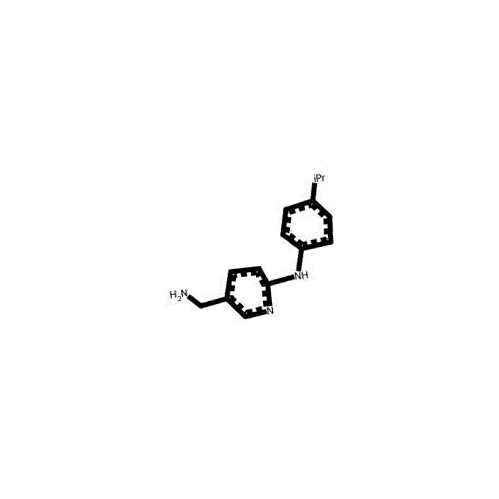 CC(C)c1ccc(Nc2ccc(CN)cn2)cc1